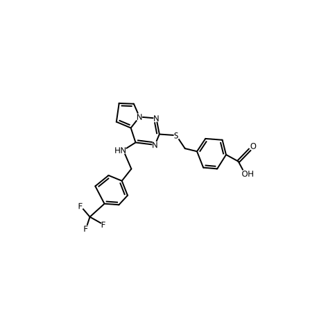 O=C(O)c1ccc(CSc2nc(NCc3ccc(C(F)(F)F)cc3)c3cccn3n2)cc1